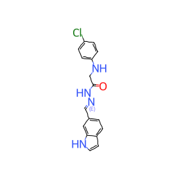 O=C(CNc1ccc(Cl)cc1)N/N=C/c1ccc2cc[nH]c2c1